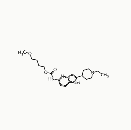 CCN1CCC(c2cc3nc(NC(=O)OCCCCOC)ccc3[nH]2)CC1